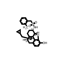 Cc1ccccc1CS(=O)(=O)N[C@H]1CC[C@@]2(O)[C@H]3Cc4ccc(O)c5c4[C@@]2(CCN3CC2CC2)[C@H]1O5